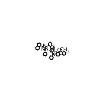 CC1(C)c2ccccc2-c2ccc(N(c3ccccc3)c3ccc4c(c3)sc3cccc(-c5nc(-c6ccccc6)nc(-c6cccc7ccccc67)n5)c34)cc21